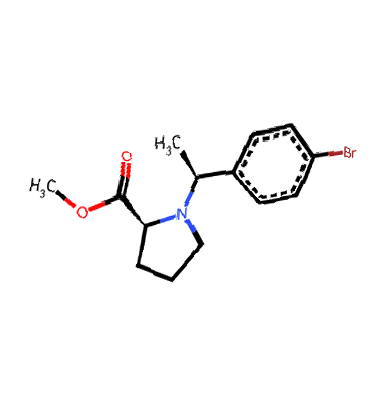 COC(=O)[C@@H]1CCCN1[C@@H](C)c1ccc(Br)cc1